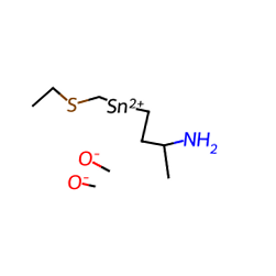 CCS[CH2][Sn+2][CH2]CC(C)N.C[O-].C[O-]